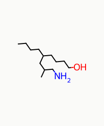 CCCCC(CCCCO)CC(C)CN